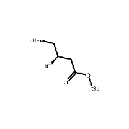 CCCCCCC[C@H](O)CC(=O)OC(C)(C)C